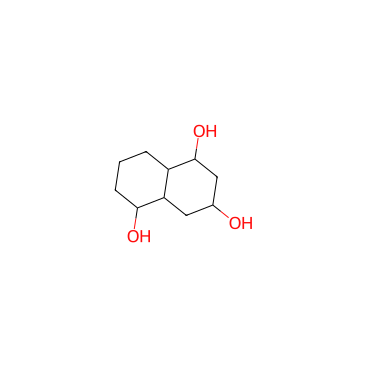 OC1CC(O)C2CCCC(O)C2C1